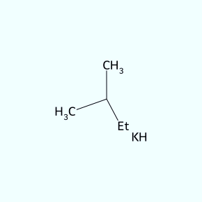 CCC(C)C.[KH]